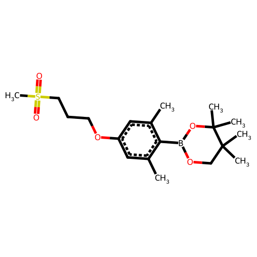 Cc1cc(OCCCS(C)(=O)=O)cc(C)c1B1OCC(C)(C)C(C)(C)O1